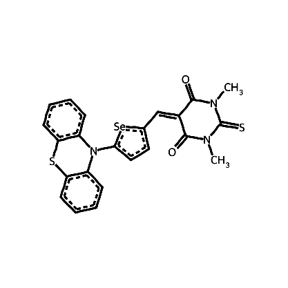 CN1C(=O)C(=Cc2ccc(N3c4ccccc4Sc4ccccc43)[se]2)C(=O)N(C)C1=S